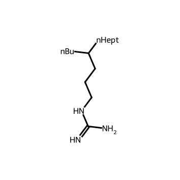 CCCCCCCC(CCCC)CCCNC(=N)N